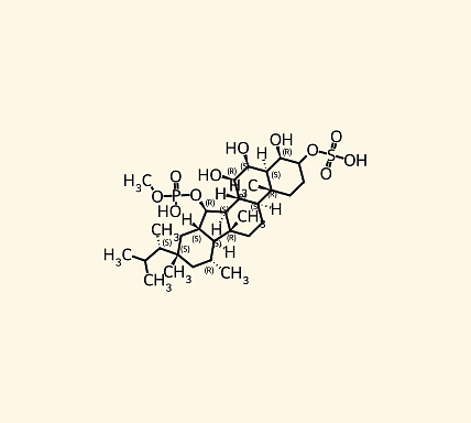 COP(=O)(O)O[C@@H]1[C@H]2C[C@@](C)([C@@H](C)C(C)C)C[C@@H](C)[C@@H]2[C@@]2(C)CC[C@H]3[C@@H]([C@@H](O)[C@@H](O)[C@H]4[C@@H](O)C(OS(=O)(=O)O)CC[C@@]43C)[C@H]12